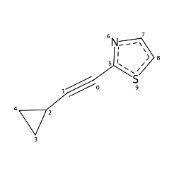 C(#CC1CC1)c1nccs1